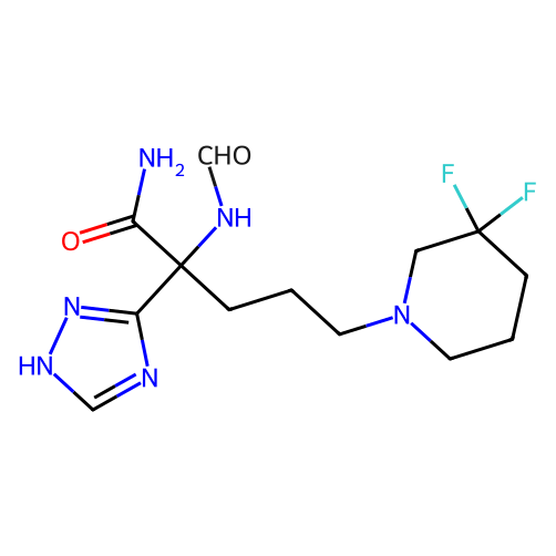 NC(=O)C(CCCN1CCCC(F)(F)C1)(NC=O)c1nc[nH]n1